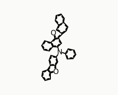 c1ccc(N(c2ccc3c(c2)oc2ccccc23)c2cc3c4ccc5ccccc5c4oc3c3ccccc23)cc1